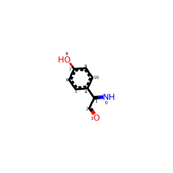 N=C(C=O)c1ccc(O)cc1